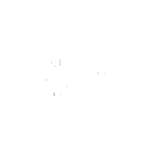 OCCCC1COCCC1O